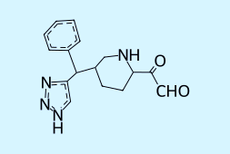 O=CC(=O)C1CCC(C(c2ccccc2)c2c[nH]nn2)CN1